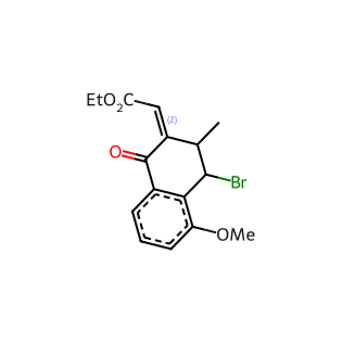 CCOC(=O)/C=C1\C(=O)c2cccc(OC)c2C(Br)C1C